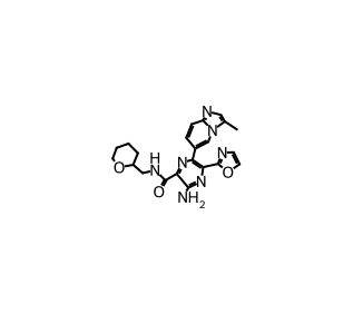 Cc1cnc2ccc(-c3nc(C(=O)NCC4CCCCO4)c(N)nc3-c3ncco3)cn12